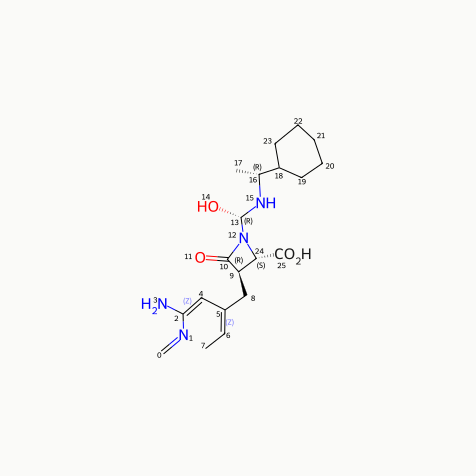 C=N/C(N)=C\C(=C/C)C[C@H]1C(=O)N([C@H](O)N[C@H](C)C2CCCCC2)[C@@H]1C(=O)O